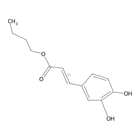 CCCCOC(=O)/C=C/c1ccc(O)c(O)c1